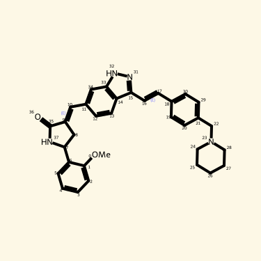 COc1ccccc1C1C/C(=C\c2ccc3c(/C=C/c4ccc(CN5CCCCC5)cc4)n[nH]c3c2)C(=O)N1